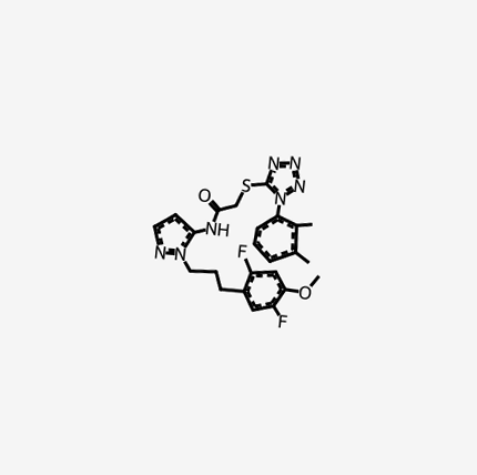 COc1cc(F)c(CCCn2nccc2NC(=O)CSc2nnnn2-c2cccc(C)c2C)cc1F